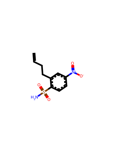 C=CCCc1cc([N+](=O)[O-])ccc1S(N)(=O)=O